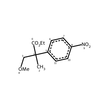 CCOC(=O)C(C)(COC)c1ccc([N+](=O)[O-])cc1